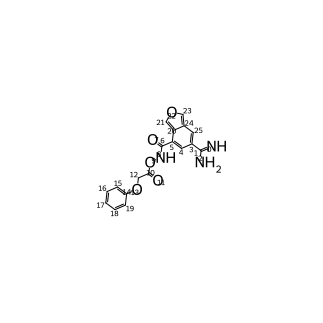 N=C(N)c1cc(C(=O)NOC(=O)COc2ccccc2)c2cocc2c1